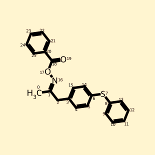 CC(Cc1ccc(Sc2ccccc2)cc1)=NOC(=O)c1ccccc1